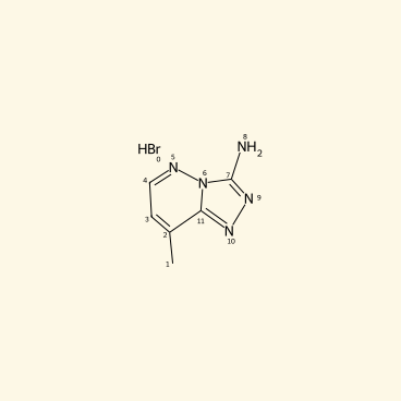 Br.Cc1ccnn2c(N)nnc12